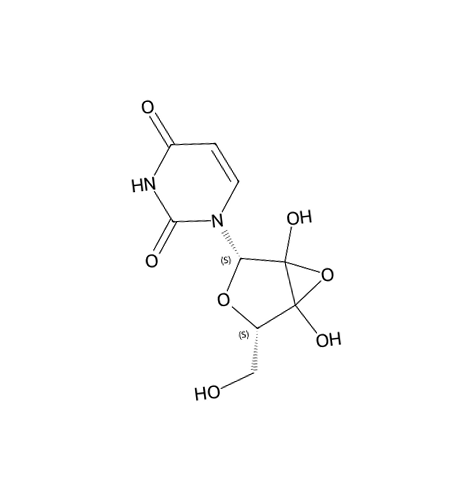 O=c1ccn([C@H]2O[C@@H](CO)C3(O)OC23O)c(=O)[nH]1